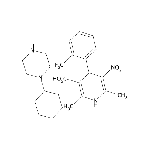 C1CCC(N2CCNCC2)CC1.CC1=C(C(=O)O)C(c2ccccc2C(F)(F)F)C([N+](=O)[O-])=C(C)N1